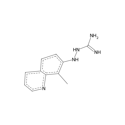 Cc1c(NNC(=N)N)ccc2cccnc12